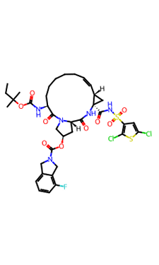 CCC(C)(C)OC(=O)N[C@H]1CCCCC/C=C\[C@@H]2C[C@@]2(C(=O)NS(=O)(=O)c2cc(Cl)sc2Cl)NC(=O)[C@@H]2C[C@@H](OC(=O)N3Cc4cccc(F)c4C3)CN2C1=O